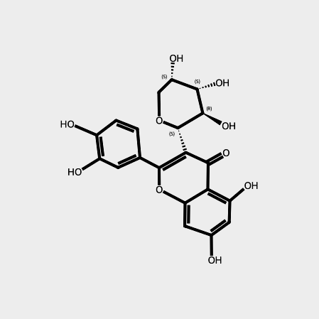 O=c1c([C@@H]2OC[C@H](O)[C@H](O)[C@H]2O)c(-c2ccc(O)c(O)c2)oc2cc(O)cc(O)c12